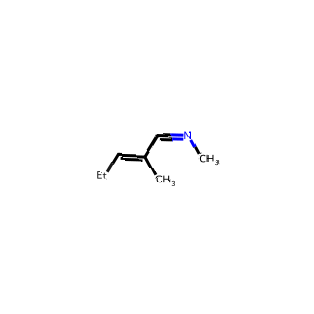 CC/C=C(C)/C=N\C